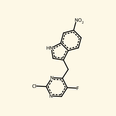 O=[N+]([O-])c1ccc2c(Cc3nc(Cl)ncc3F)c[nH]c2c1